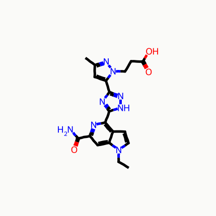 CCn1ccc2c(-c3nc(-c4cc(C)nn4CCC(=O)O)n[nH]3)nc(C(N)=O)cc21